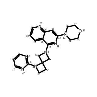 c1cnc(N2CCC23CN(c2nc(N4CCOCC4)cc4ncccc24)C3)nc1